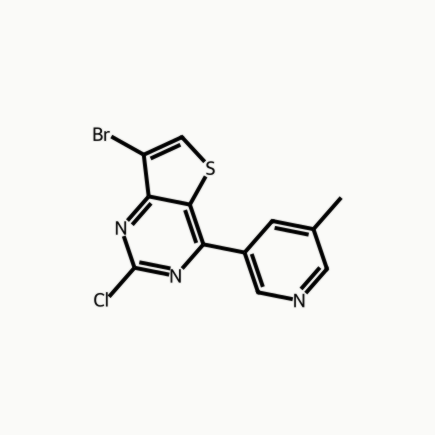 Cc1cncc(-c2nc(Cl)nc3c(Br)csc23)c1